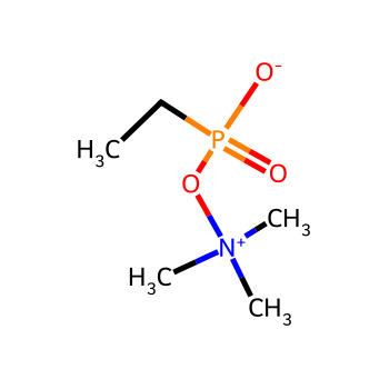 CCP(=O)([O-])O[N+](C)(C)C